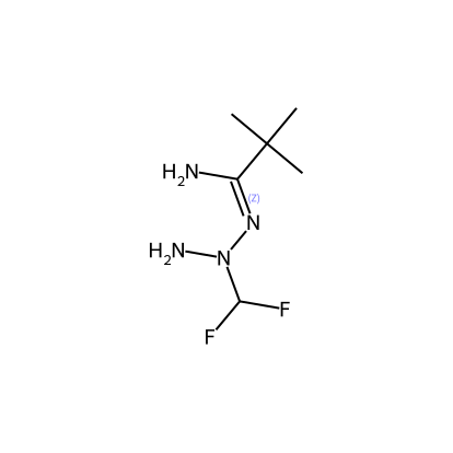 CC(C)(C)/C(N)=N/N(N)C(F)F